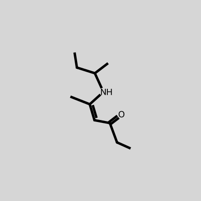 CCC(=O)C=C(C)NC(C)CC